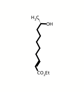 CCOC(=O)/C=C/CCCCC[C@H](C)O